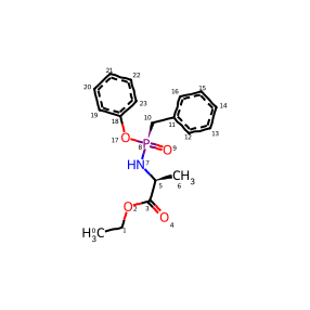 CCOC(=O)[C@H](C)N[P@](=O)(Cc1ccccc1)Oc1ccccc1